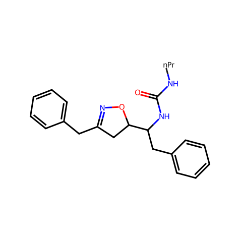 CCCNC(=O)NC(Cc1ccccc1)C1CC(Cc2ccccc2)=NO1